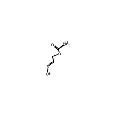 NC(=O)OCC=NO